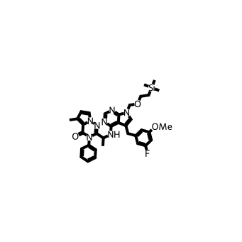 COc1cc(F)cc(Cc2cn(COCC[Si](C)(C)C)c3ncnc(NC(C)c4nn5ccc(C)c5c(=O)n4-c4ccccc4)c23)c1